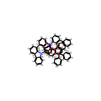 c1ccc(-c2ccccc2-c2c(-c3ccccc3)cccc2N(c2cccc(-c3cccc4c5ccccc5n(-c5ccccc5)c34)c2)c2cccc3c2-c2ccccc2C3(c2ccccc2)c2ccccc2)cc1